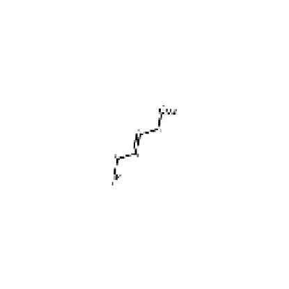 CCCCC=CCOC